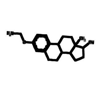 CC12CCC3c4ccc(OCN)cc4CCC3C1CCC2O